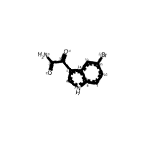 NC(=O)C(=O)c1c[nH]c2ccc(Br)cc12